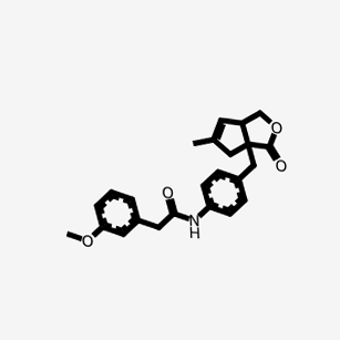 COc1cccc(CC(=O)Nc2ccc(CC34CC(C)=CC3COC4=O)cc2)c1